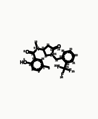 Cc1ccc(O)c(C(=O)N(C)C2CC(=O)N(Cc3ccccc3C(F)(F)F)C2)c1